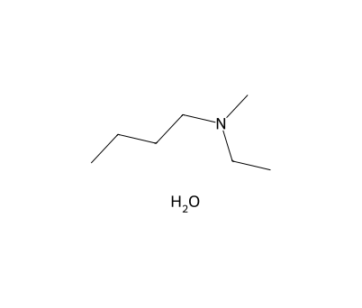 CCCCN(C)CC.O